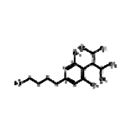 C=C(C)C(=C(C)C)c1c(C)cc(CCCCC)cc1C